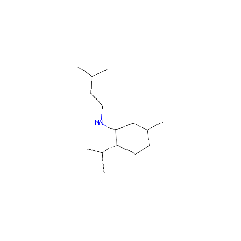 CC(C)CCNC1CC(C)CCC1C(C)C